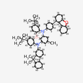 Cc1cc2c3c(c1)N(c1ccc(-c4cccc5oc6ccccc6c45)cc1)c1cc(C(C)(C)C)ccc1B3c1cc(C(C)(C)C)ccc1N2c1ccc2c(c1)C(C)(C)c1ccccc1-2